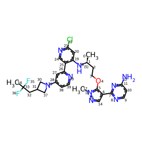 C[C@@H](CCOc1c(-c2nccc(N)n2)cnn1C)Nc1cc(Cl)ncc1-c1cc(N2CC(CC(C)(F)F)C2)ccn1